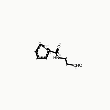 O=CCCNC(=O)c1ccccc1